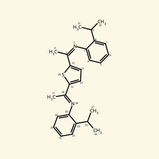 CC(=Nc1ccccc1C(C)C)c1ccc(C(C)=Nc2ccccc2C(C)C)s1